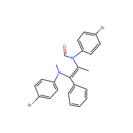 C/C(=C(\c1ccccc1)N(C)c1ccc(Br)cc1)N(C=O)c1ccc(Br)cc1